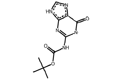 CC(C)(C)OC(=O)NC1=Nc2[nH]cnc2C(=O)[N]1